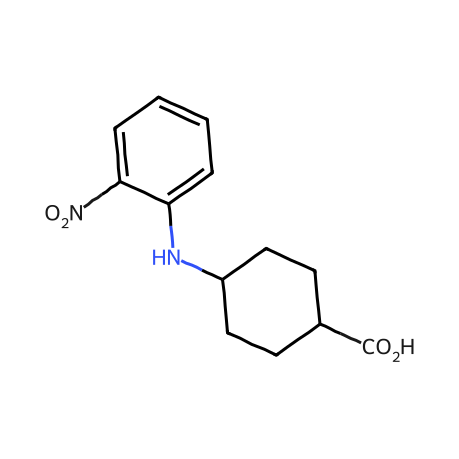 O=C(O)C1CCC(Nc2ccccc2[N+](=O)[O-])CC1